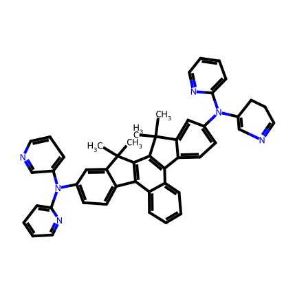 CC1(C)c2cc(N(C3=CN=CCC3)c3ccccn3)ccc2-c2c1c1c(c3ccccc23)-c2ccc(N(c3cccnc3)c3ccccn3)cc2C1(C)C